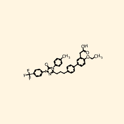 CCOc1ccc(-c2ccc(CCCc3nn(-c4ccc(C(F)(F)F)cc4)c(=O)n3-c3ccc(C)cc3)cc2)cc1CC(=O)O